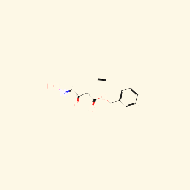 C=C.O=C(C=NO)CC(=O)OCc1ccccc1